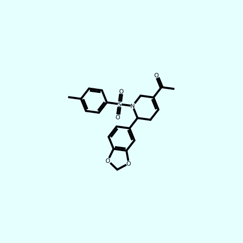 CC(=O)C1=CCC(c2ccc3c(c2)OCO3)N(S(=O)(=O)c2ccc(C)cc2)C1